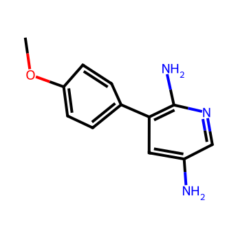 COc1ccc(-c2cc(N)cnc2N)cc1